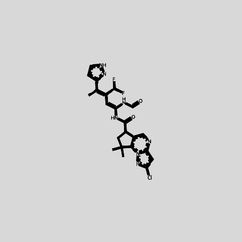 C/C(=C(\C=C(/NC=O)NC(=O)C1CC(C)(C)c2c1cnc1cc(Cl)nn21)C(F)F)c1cc[nH]n1